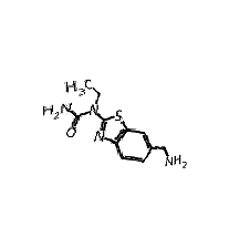 CCN(C(N)=O)c1nc2ccc(CN)cc2s1